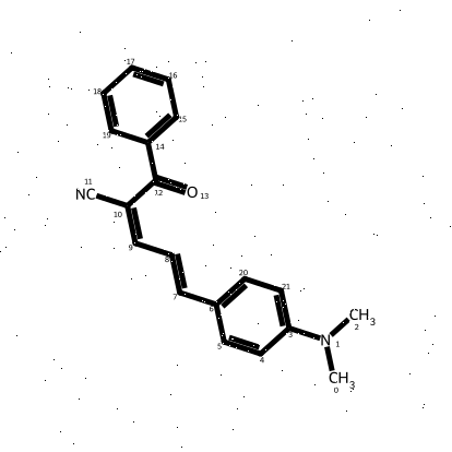 CN(C)c1ccc(C=CC=C(C#N)C(=O)c2ccccc2)cc1